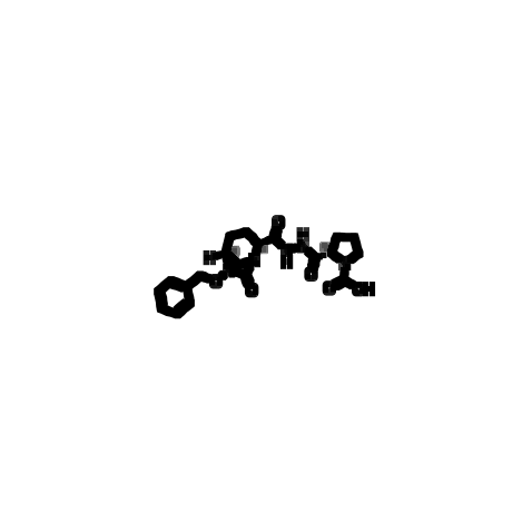 O=C(NNC(=O)[C@@H]1CC[C@@H]2CN1C(=O)N2OCc1ccccc1)[C@@H]1CCCN1C(=O)O